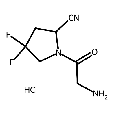 Cl.N#CC1CC(F)(F)CN1C(=O)CN